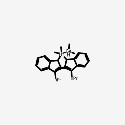 CCCC1=C(C)[CH]([Hf]([CH3])([CH3])([CH]2C(C)=C(CCC)c3ccccc32)[GeH]([CH3])[CH3])c2ccccc21